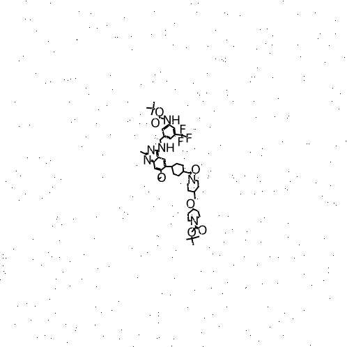 COc1cc2nc(C)nc(N[C@H](C)c3cc(NC(=O)OC(C)(C)C)cc(C(F)(F)F)c3)c2cc1C1CCC(C(=O)N2CCC(COC3CCN(C(=O)OC(C)(C)C)CC3)CC2)CC1